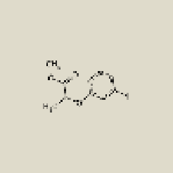 COC(=O)C(C)Oc1cccc(I)c1